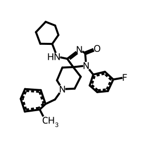 Cc1ccccc1CN1CCC2(CC1)C(NC1CCCCC1)=NC(=O)N2c1cccc(F)c1